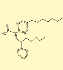 CCCCCCCc1cnc(/C(=C\C(CCCCC)c2ccccc2)C(=O)O)nc1